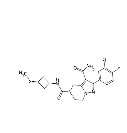 CS[C@H]1C[C@@H](NC(=O)N2CCn3nc(-c4ccc(F)c(Cl)c4)c(C(N)=O)c3C2)C1